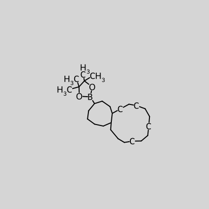 CC1(C)OB(C2CCCCC3CCCCCCCCCCCCC3CC2)OC1(C)C